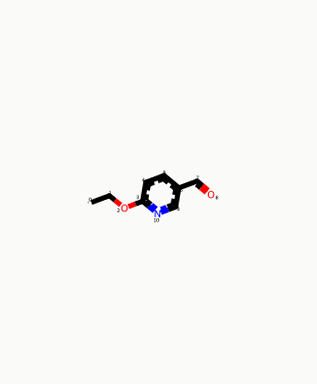 [CH2]COc1ccc(C=O)cn1